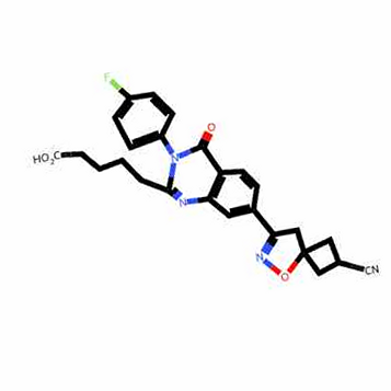 N#CC1CC2(CC(c3ccc4c(=O)n(-c5ccc(F)cc5)c(CCCCC(=O)O)nc4c3)=NO2)C1